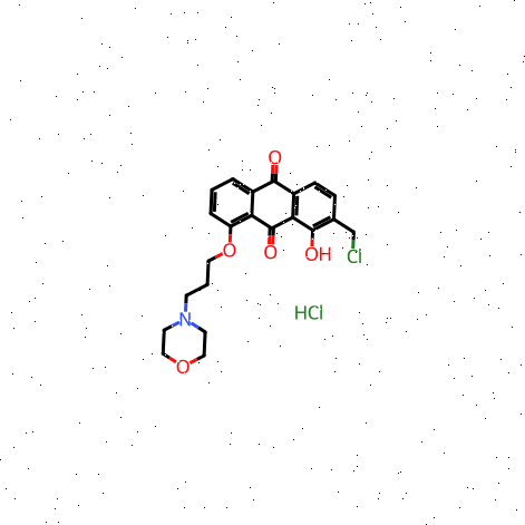 Cl.O=C1c2cccc(OCCCN3CCOCC3)c2C(=O)c2c1ccc(CCl)c2O